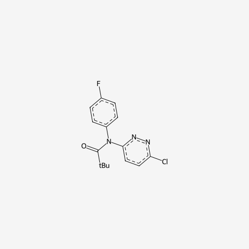 CC(C)(C)C(=O)N(c1ccc(F)cc1)c1ccc(Cl)nn1